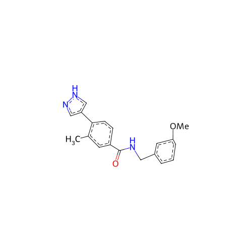 COc1cccc(CNC(=O)c2ccc(-c3cn[nH]c3)c(C)c2)c1